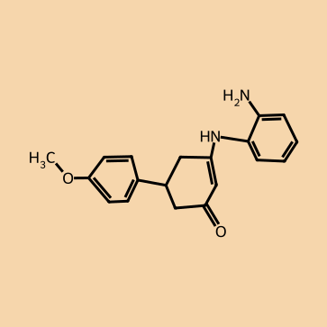 COc1ccc(C2CC(=O)C=C(Nc3ccccc3N)C2)cc1